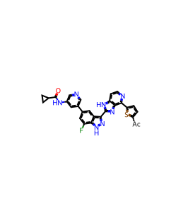 CC(=O)c1ccc(-c2nccc3[nH]c(-c4n[nH]c5c(F)cc(-c6cncc(NC(=O)C7CC7)c6)cc45)nc23)s1